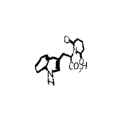 O=C(O)C(Cc1c[nH]c2ccccc12)N1C(=O)CCCC1=O